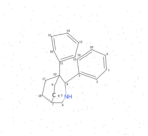 c1ccc(C2NCC3CCC2(c2ccccc2)CC3)cc1